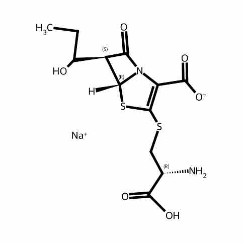 CCC(O)[C@H]1C(=O)N2C(C(=O)[O-])=C(SC[C@H](N)C(=O)O)S[C@H]12.[Na+]